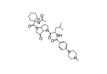 CC(=O)NC1(C(=O)N2CC(=O)C3C2CCN3C(=O)C(CC(C)C)NC(=O)c2ccc(N3CCN(C)CC3)cc2)CCCCC1